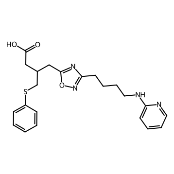 O=C(O)CC(CSc1ccccc1)Cc1nc(CCCCNc2ccccn2)no1